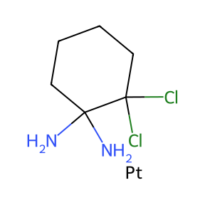 NC1(N)CCCCC1(Cl)Cl.[Pt]